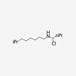 CCCC(Cl)NCCCCCCC(C)C